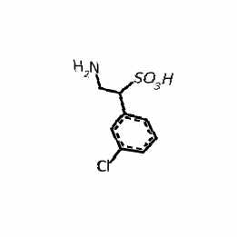 NCC(c1cccc(Cl)c1)S(=O)(=O)O